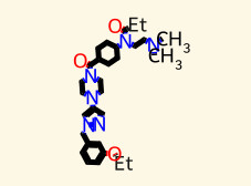 CCOc1cccc(Cn2cc(N3CCN(C(=O)C4CCC(N(CCN(C)C)C(=O)CC)CC4)CC3)cn2)c1